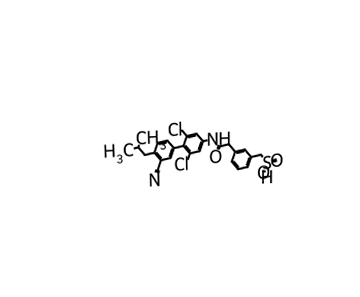 CC(C)Cc1ccc(-c2c(Cl)cc(NC(=O)Cc3cccc(C[SH](=O)=O)c3)cc2Cl)cc1C#N